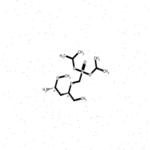 B[C@@H](C[C@H](CC)OCP(=O)(OC(C)C)OC(C)C)OC